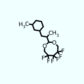 CC1CCCC(CC(C)C2OCC(F)(F)C(F)(F)C(F)(F)CO2)C1